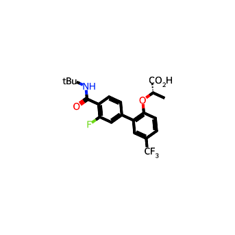 C[C@H](Oc1ccc(C(F)(F)F)cc1-c1ccc(C(=O)NC(C)(C)C)c(F)c1)C(=O)O